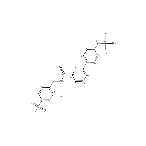 CS(=O)(=O)c1ccc(CNC(=O)c2cncc(-c3ccc(OC(F)(F)F)cc3)c2)c(Cl)c1